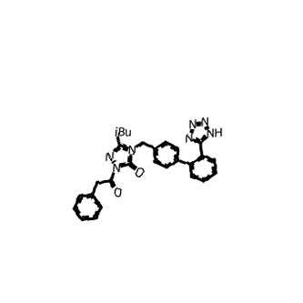 CCC(C)c1nn(C(=O)Cc2ccccc2)c(=O)n1Cc1ccc(-c2ccccc2-c2nnn[nH]2)cc1